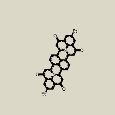 CCc1cc2c(=O)cc3c4ccc5c6c(ccc(c46)c4cc(=O)c(c1)c2n34)c1cc(=O)c2cc(CC)cc3c(=O)cc5n1c32